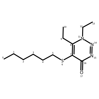 CCCCCCSc1c(CC)n(CC)nnc1=O